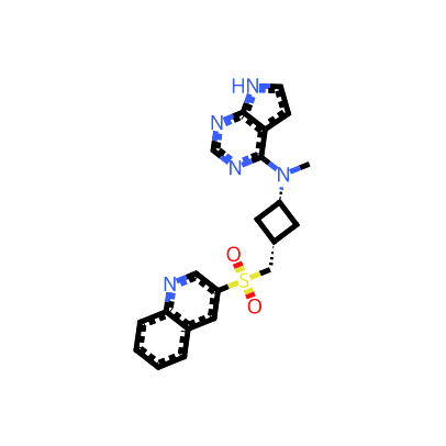 CN(c1ncnc2[nH]ccc12)[C@H]1C[C@@H](CS(=O)(=O)c2cnc3ccccc3c2)C1